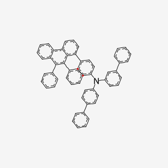 c1ccc(-c2ccc(N(c3ccc(-c4cccc5c4c(-c4ccccc4)c(-c4ccccc4)c4ccccc45)cc3)c3cccc(-c4ccccc4)c3)cc2)cc1